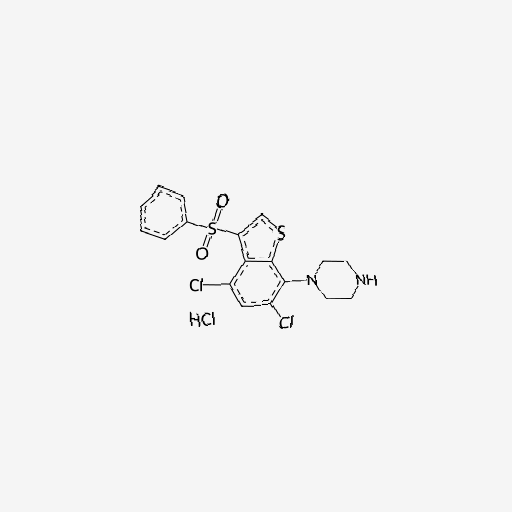 Cl.O=S(=O)(c1ccccc1)c1csc2c(N3CCNCC3)c(Cl)cc(Cl)c12